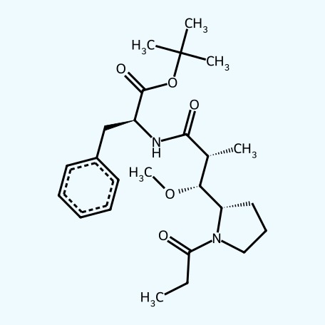 CCC(=O)N1CCC[C@H]1[C@H](OC)[C@@H](C)C(=O)N[C@@H](Cc1ccccc1)C(=O)OC(C)(C)C